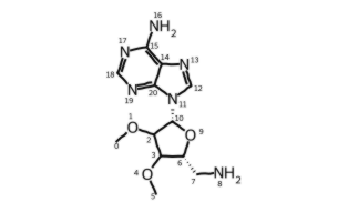 COC1C(OC)[C@@H](CN)O[C@H]1n1cnc2c(N)ncnc21